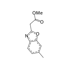 COC(=O)Cc1nc2ccc(C)cc2o1